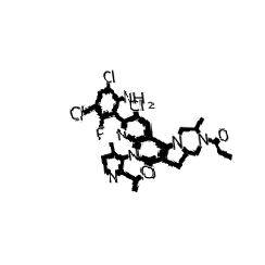 C=CC(=O)N1CC2Cc3c(c4cc(Cl)c(-c5c(N)c(Cl)cc(Cl)c5F)nc4n(-c4c(C)ccnc4C(C)C)c3=O)N2CC1C